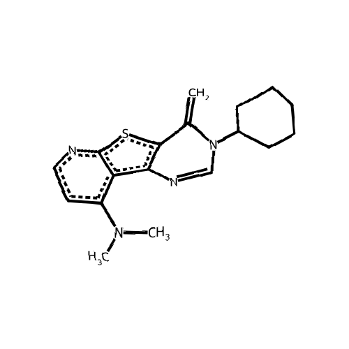 C=C1c2sc3nccc(N(C)C)c3c2N=CN1C1CCCCC1